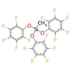 C[Si](Oc1c(F)c(F)c(F)c(F)c1F)(Oc1c(F)c(F)c(F)c(F)c1F)Oc1c(F)c(F)c(F)c(F)c1F